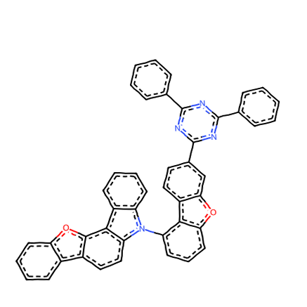 c1ccc(-c2nc(-c3ccccc3)nc(-c3ccc4c(c3)oc3cccc(-n5c6ccccc6c6c7oc8ccccc8c7ccc65)c34)n2)cc1